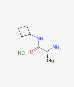 CC(C)(C)[C@H](N)C(=O)NC1CCC1.Cl